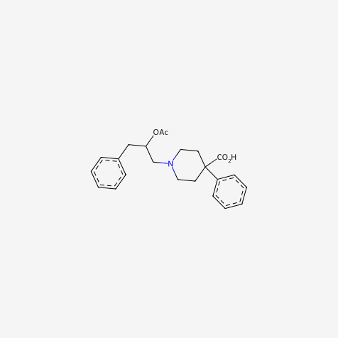 CC(=O)OC(Cc1ccccc1)CN1CCC(C(=O)O)(c2ccccc2)CC1